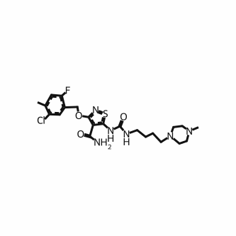 Cc1cc(F)c(COc2nsc(NC(=O)NCCCCN3CCN(C)CC3)c2C(N)=O)cc1Cl